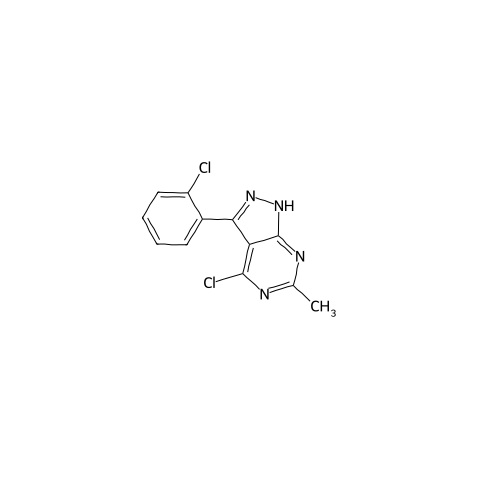 Cc1nc(Cl)c2c(-c3ccccc3Cl)n[nH]c2n1